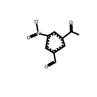 CC(=O)c1cc(C=O)cc([N+](=O)[O-])c1